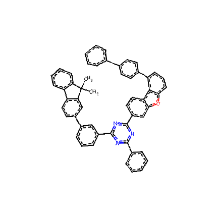 CC1(C)c2ccccc2-c2ccc(-c3cccc(-c4nc(-c5ccccc5)nc(-c5ccc6c(c5)oc5cccc(-c7ccc(-c8ccccc8)cc7)c56)n4)c3)cc21